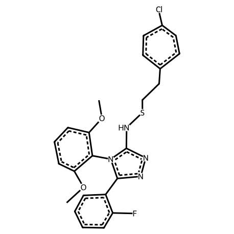 COc1cccc(OC)c1-n1c(NSCCc2ccc(Cl)cc2)nnc1-c1ccccc1F